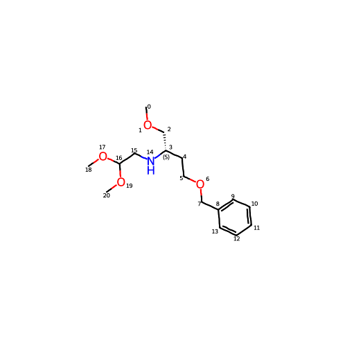 COC[C@H](CCOCc1ccccc1)NCC(OC)OC